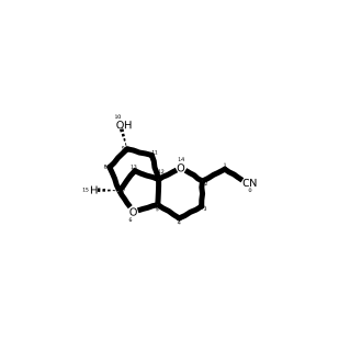 N#CCC1CCC2O[C@H]3C[C@H](O)CC2(C3)O1